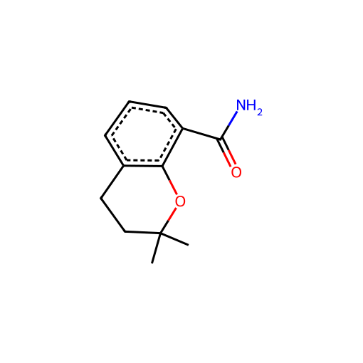 CC1(C)CCc2cccc(C(N)=O)c2O1